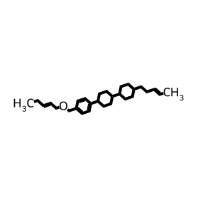 C/C=C/CCC1CCC(C2CCC(c3ccc(COCC=CCC)cc3)CC2)CC1